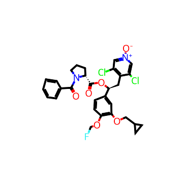 O=C(O[C@@H](Cc1c(Cl)c[n+]([O-])cc1Cl)c1ccc(OCF)c(OCC2CC2)c1)[C@H]1CCCN1C(=O)c1ccccc1